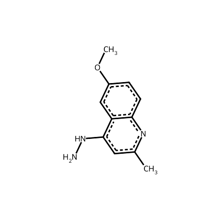 COc1ccc2nc(C)cc(NN)c2c1